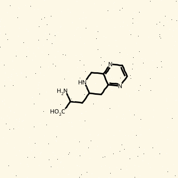 NC(CC1Cc2nccnc2CN1)C(=O)O